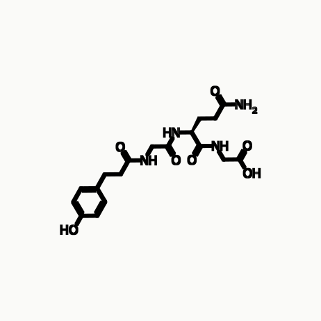 NC(=O)CC[C@H](NC(=O)CNC(=O)CCc1ccc(O)cc1)C(=O)NCC(=O)O